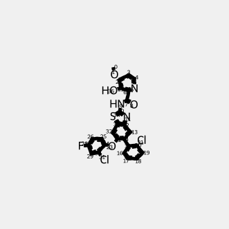 COc1ccnc(C(=O)Nc2nc3cc(-c4ccccc4Cl)c(Oc4ccc(F)cc4Cl)cc3s2)c1O